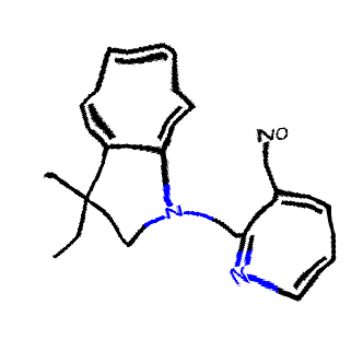 CC1(C)CN(c2ncccc2N=O)c2ccccc21